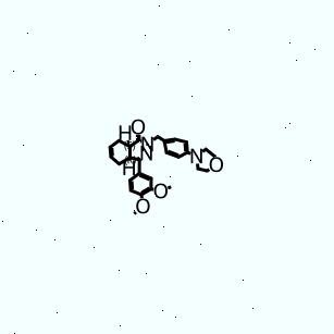 COc1ccc(C2=NN(Cc3ccc(N4CCOCC4)cc3)C(=O)[C@H]3CC=CC[C@@H]23)cc1OC